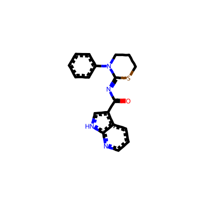 O=C(/N=C1\SCCCN1c1ccccc1)c1c[nH]c2ncccc12